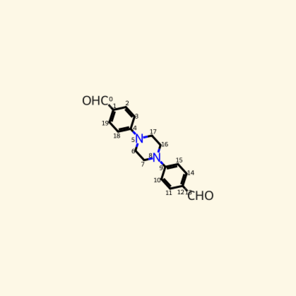 O=Cc1ccc(N2CCN(c3ccc(C=O)cc3)CC2)cc1